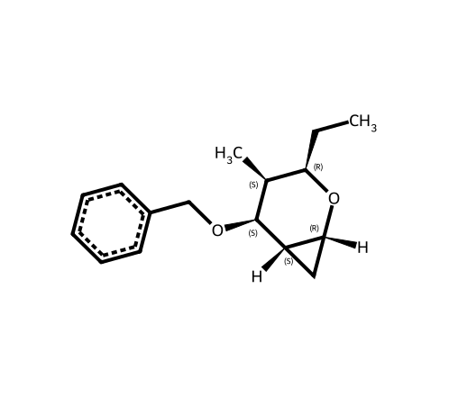 CC[C@H]1O[C@@H]2C[C@@H]2[C@@H](OCc2ccccc2)[C@H]1C